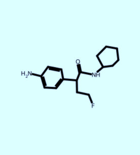 Nc1ccc(C(CCF)C(=O)NC2CCCCC2)cc1